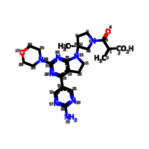 CC(C(=O)O)C(=O)N1CC[C@](C)(N2CCc3c(-c4cnc(N)nc4)nc(N4CCOCC4)nc32)C1